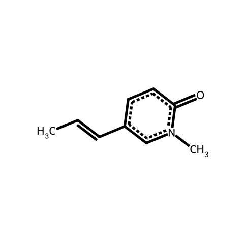 C/C=C/c1ccc(=O)n(C)c1